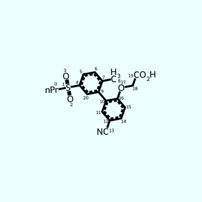 CCCS(=O)(=O)c1ccc(C)c(-c2cc(C#N)ccc2OCC(=O)O)c1